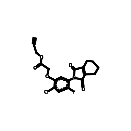 C#CCOC(=O)COc1cc(N2C(=O)C3=C(CCCC3)C2=O)c(F)cc1Cl